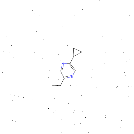 CCc1cnc(C2CC2)cn1